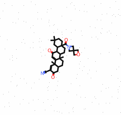 CC1(C)CCC2(C(=O)N3CC4(COC4)C3)CCC3C(C(=O)C=C4C5(C)C=C(C#N)C(=O)CC5CCC43C)C2C1